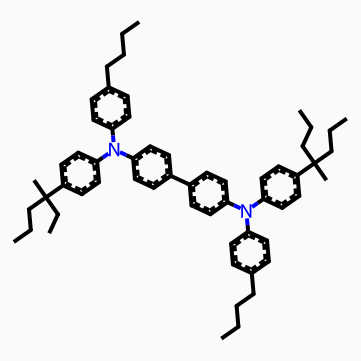 CCCCc1ccc(N(c2ccc(-c3ccc(N(c4ccc(CCCC)cc4)c4ccc(C(C)(CCC)CCC)cc4)cc3)cc2)c2ccc(C(C)(CC)CCC)cc2)cc1